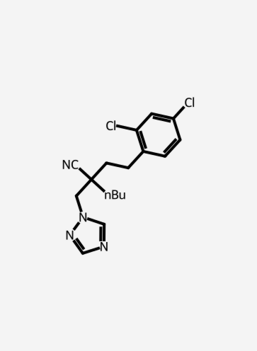 CCCCC(C#N)(CCc1ccc(Cl)cc1Cl)Cn1cncn1